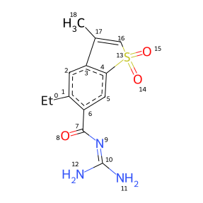 CCc1cc2c(cc1C(=O)N=C(N)N)S(=O)(=O)C=C2C